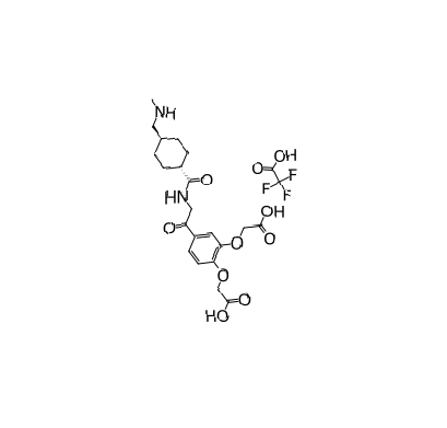 CNC[C@H]1CC[C@H](C(=O)NCC(=O)c2ccc(OCC(=O)O)c(OCC(=O)O)c2)CC1.O=C(O)C(F)(F)F